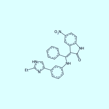 CCc1nc(-c2cccc(N/C(=C3\C(=O)Nc4ccc([N+](=O)[O-])cc43)c3ccccc3)c2)c[nH]1